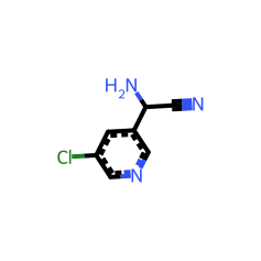 N#CC(N)c1cncc(Cl)c1